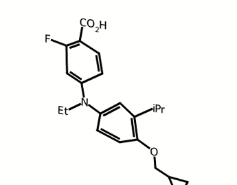 CCN(c1ccc(C(=O)O)c(F)c1)c1ccc(OCC2CC2)c(C(C)C)c1